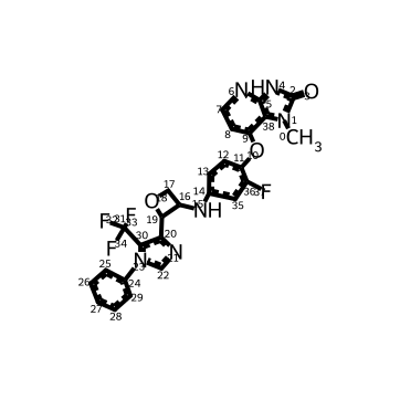 Cn1c(=O)[nH]c2nccc(Oc3ccc(NC4COC4c4ncn(-c5ccccc5)c4C(F)(F)F)cc3F)c21